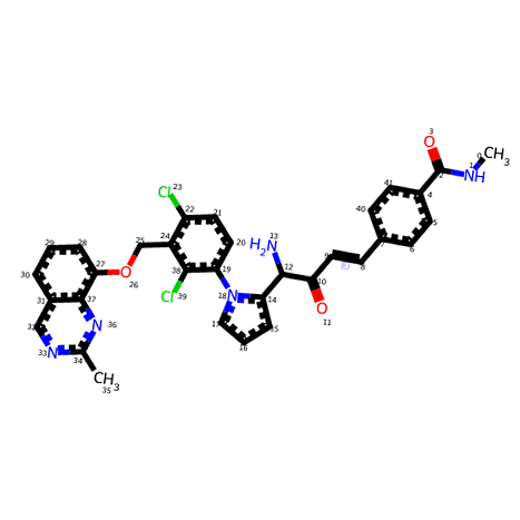 CNC(=O)c1ccc(/C=C/C(=O)C(N)c2cccn2-c2ccc(Cl)c(COc3cccc4cnc(C)nc34)c2Cl)cc1